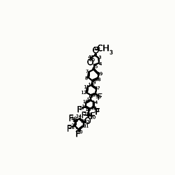 COC1CCC(c2ccc(-c3ccc(-c4cc(F)c(C(F)(F)Oc5cc(F)c(F)c(F)c5)c(F)c4)c(F)c3)cc2)OC1